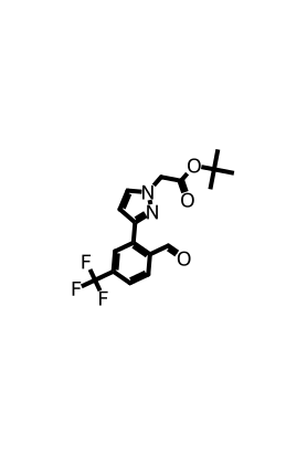 CC(C)(C)OC(=O)Cn1ccc(-c2cc(C(F)(F)F)ccc2C=O)n1